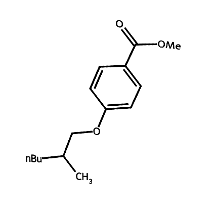 CCCCC(C)COc1ccc(C(=O)OC)cc1